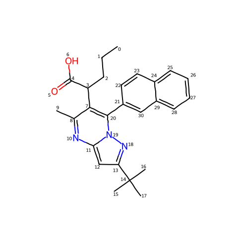 CCCC(C(=O)O)c1c(C)nc2cc(C(C)(C)C)nn2c1-c1ccc2ccccc2c1